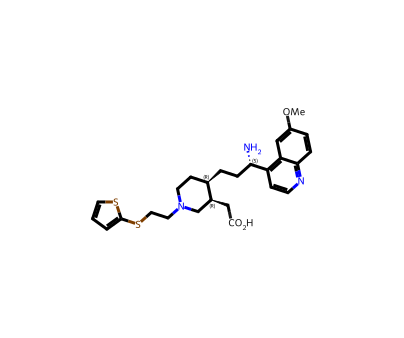 COc1ccc2nccc([C@@H](N)CC[C@@H]3CCN(CCSc4cccs4)C[C@@H]3CC(=O)O)c2c1